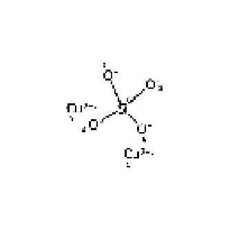 [Cu+2].[Cu+2].[O-][Si]([O-])([O-])[O-]